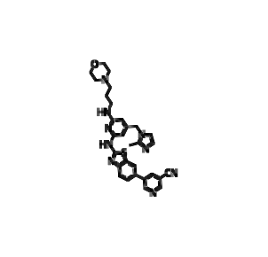 Cc1nccn1Cc1cc(NCCCN2CCOCC2)nc(Nc2nc3ccc(-c4cncc(C#N)c4)cc3s2)c1